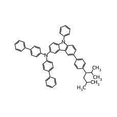 CC(C)CC(c1ccc(-c2ccc3c(c2)c2cc(N(c4ccc(-c5ccccc5)cc4)c4ccc(-c5ccccc5)cc4)ccc2n3-c2ccccc2)cc1)C(C)C